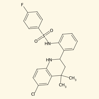 CC1(C)CC(c2ccccc2NS(=O)(=O)c2ccc(F)cc2)Nc2ccc(Cl)cc21